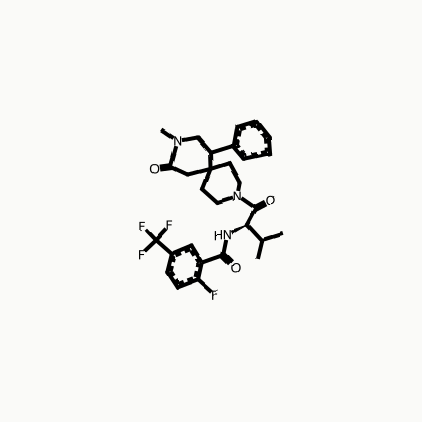 CC(C)[C@@H](NC(=O)c1cc(C(F)(F)F)ccc1F)C(=O)N1CCC2(CC1)CC(=O)N(C)CC2c1ccccc1